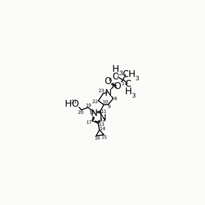 CC(C)(C)OC(=O)N1CCC(c2nc(C3CC3)cn2CCO)CC1